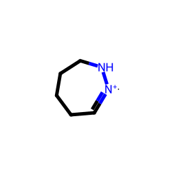 C1=[N+]NCCCC1